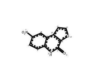 O=c1[nH]c2ccc([N+](=O)[O-])cc2c2ccsc12